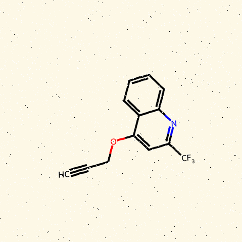 C#CCOc1cc(C(F)(F)F)nc2ccccc12